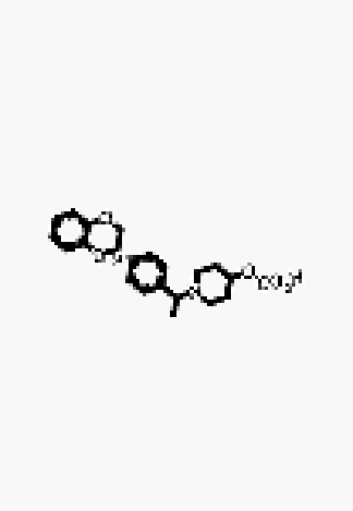 CC(c1ccc([C@H]2COc3ccccc3O2)cc1)N1CCC(OC(=O)O)CC1